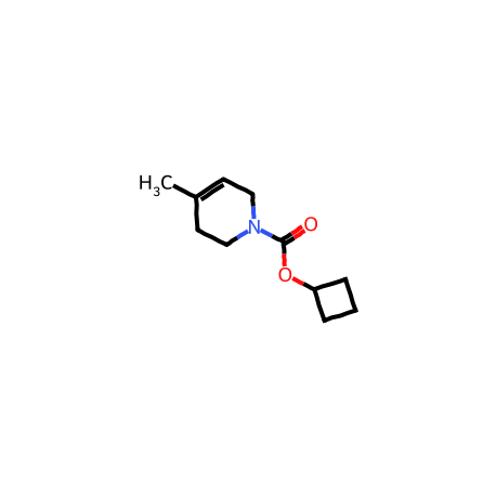 CC1=CCN(C(=O)OC2CCC2)CC1